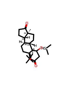 C[SiH](C)OC1CC(=O)C=C2CC[C@H]3[C@@H]4CCC(=O)[C@@]4(C)CC[C@@H]3[C@]21CC(C)(C)C